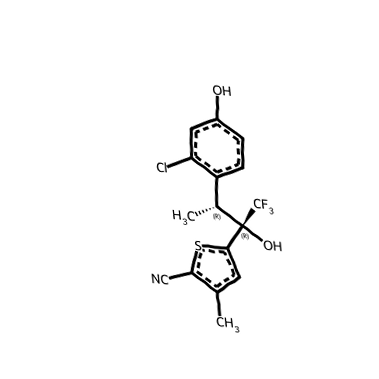 Cc1cc([C@@](O)([C@H](C)c2ccc(O)cc2Cl)C(F)(F)F)sc1C#N